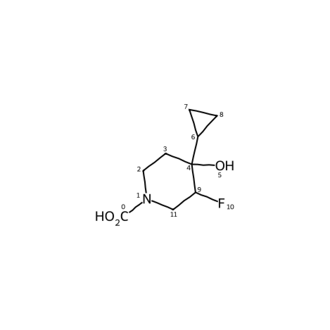 O=C(O)N1CCC(O)(C2CC2)C(F)C1